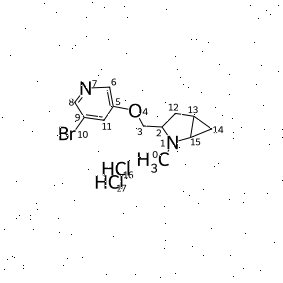 CN1C(COc2cncc(Br)c2)CC2CC21.Cl.Cl